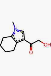 Cn1cc(C(=O)CO)c2c1CCCC2